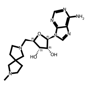 CN1CCC2(CCN(C[C@H]3O[C@@H](n4cnc5c(N)ncnc54)[C@H](O)[C@@H]3O)C2)C1